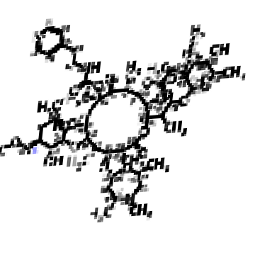 CO/N=C1\C[C@@H](C)O[C@@H](O[C@@H]2[C@@H](C)[C@H](O[C@H]3C[C@H](C)N(C)C[C@H](C)O3)[C@@H](C)C(=O)O[C@H](C(C)CO[C@@H]3O[C@H](C)[C@@H](O)[C@@H](OC)[C@H]3OC)[C@H](C)[C@@H](OC(=O)CC(C)C)[C@@H](C)C(=O)[C@@](C)(OC(=O)NCCc3ccncc3)C[C@@H]2C)[C@@H]1O